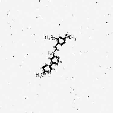 COc1cc(SC)ccc1CCNc1cc(-c2ccc(C)nc2)ncn1